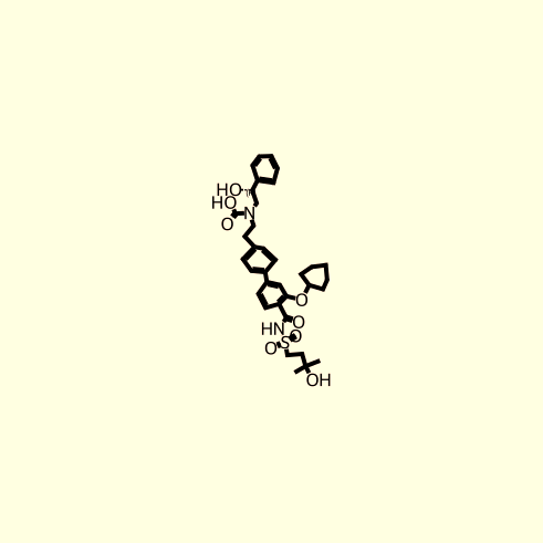 CC(C)(O)CCS(=O)(=O)NC(=O)c1ccc(-c2ccc(CCN(C[C@H](O)c3ccccc3)C(=O)O)cc2)cc1OC1CCCCC1